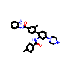 Cc1ccc(C(=O)Nc2cc(N3CCNCC3)ccc2-c2ccc(C(=O)Nc3ccccc3N)cc2C)cc1